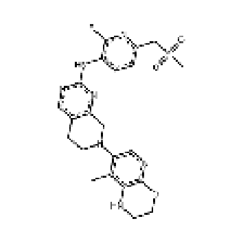 Cc1c(N2CCc3cnc(Nc4ccc(CS(C)(=O)=O)nc4F)nc3C2)cnc2c1NCCO2